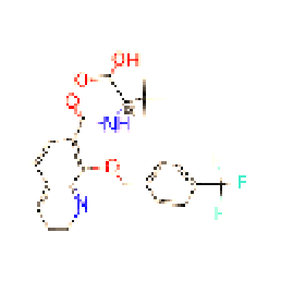 CC(C)(C)[C@H](NC(=O)c1ccc2cccnc2c1OCc1ccc(C(F)(F)F)cc1)C(=O)O